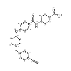 N#Cc1ccc(CN2CCC(Oc3ccc(C(=O)NC4CCN(C(=O)O)CC4)cc3)CC2)cc1